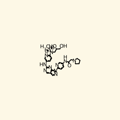 CS(=O)(=O)N(CC(O)CO)c1ccc(Nc2ncc3cnn(-c4ccc(NC(=O)CN5CCCC5)cn4)c3n2)cn1